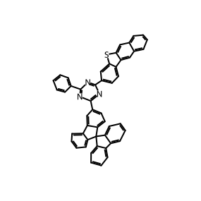 c1ccc(-c2nc(-c3ccc4c(c3)-c3ccccc3C43c4ccccc4-c4ccccc43)nc(-c3ccc4c(c3)sc3cc5ccccc5cc34)n2)cc1